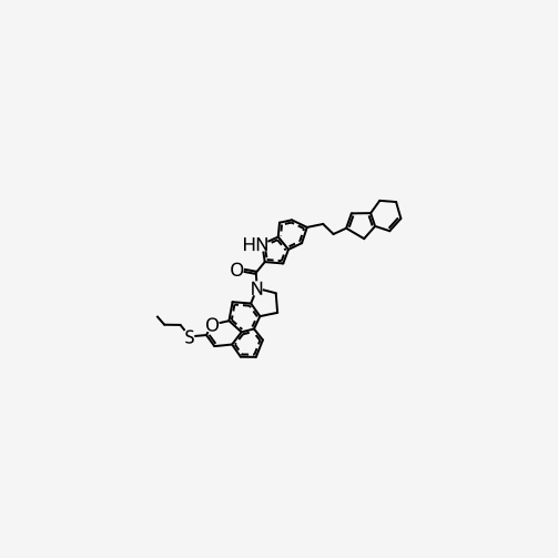 CCCSC1=Cc2cccc3c4c(cc(c23)O1)N(C(=O)c1cc2cc(CCC3=CC5=C(C=CCC5)C3)ccc2[nH]1)CC4